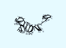 CCCCN(C(=O)Nc1c(C(C)C)cc(-c2cccc(OCCCc3ccccn3)c2)cc1C(C)C)c1cc2cccnc2[nH]c1=O